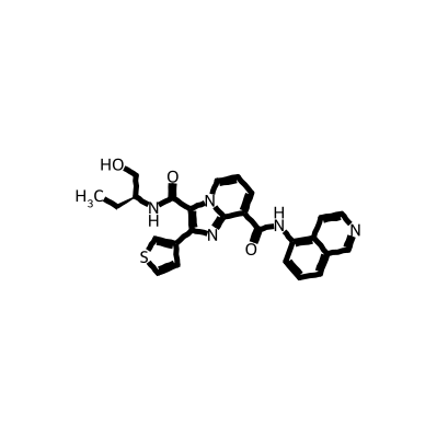 CC[C@@H](CO)NC(=O)c1c(-c2ccsc2)nc2c(C(=O)Nc3cccc4cnccc34)cccn12